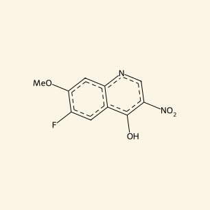 COc1cc2ncc([N+](=O)[O-])c(O)c2cc1F